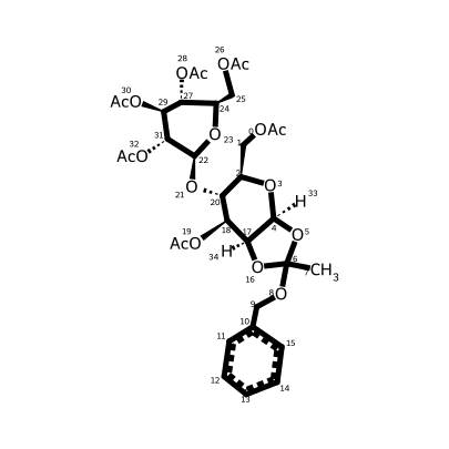 CC(=O)OC[C@H]1O[C@H]2OC(C)(OCc3ccccc3)O[C@H]2[C@@H](OC(C)=O)[C@@H]1O[C@@H]1O[C@H](COC(C)=O)[C@@H](OC(C)=O)[C@H](OC(C)=O)[C@H]1OC(C)=O